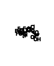 Cn1nc(-c2cc(OCc3occc3C(=O)O)c(Cl)cc2F)c(Cl)c1OC(F)(F)C(F)F